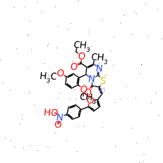 CCOC(=O)C1=C(C)N=c2s/c(=C/c3ccc(-c4ccc([N+](=O)O)cc4)o3)c(=O)n2C1c1cc(OC)ccc1OC